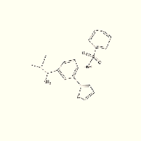 CC(C)C(N)c1ccc(NS(=O)(=O)c2ccccc2)c(-c2ccco2)c1